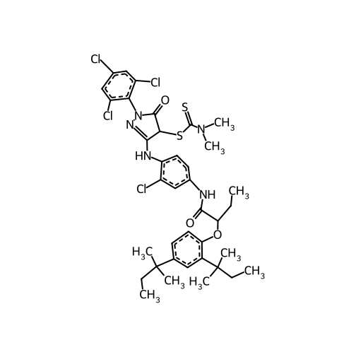 CCC(Oc1ccc(C(C)(C)CC)cc1C(C)(C)CC)C(=O)Nc1ccc(NC2=NN(c3c(Cl)cc(Cl)cc3Cl)C(=O)C2SC(=S)N(C)C)c(Cl)c1